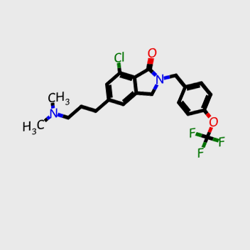 CN(C)CCCc1cc(Cl)c2c(c1)CN(Cc1ccc(OC(F)(F)F)cc1)C2=O